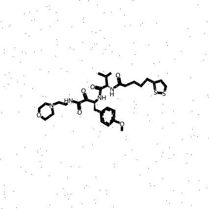 COc1ccc(C[C@H](NC(=O)[C@@H](NC(=O)CCCCC2CCSS2)C(C)C)C(=O)C(=O)NCCN2CCOCC2)cc1